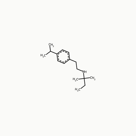 CCC(C)(C)NCCc1ccc(C(C)C)cc1